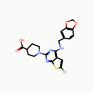 O=C(O)C1CCN(c2nc(NCc3ccc4c(c3)OCO4)c3cc(Cl)sc3n2)CC1